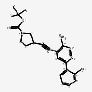 CC(C)(C)OC(=O)N1CCC(C#Cc2cc(-c3ccccc3O)nnc2N)C1